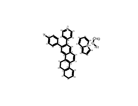 CCOC=O.Fc1ccc(-c2cc3c4c(ccc3cc2-c2ccncc2)C2=C(CCC=C2)CC4)cc1.c1ccn2cccc2c1